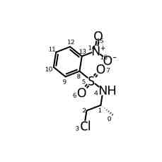 C[C@H](CCl)NS(=O)(=O)c1ccccc1[N+](=O)[O-]